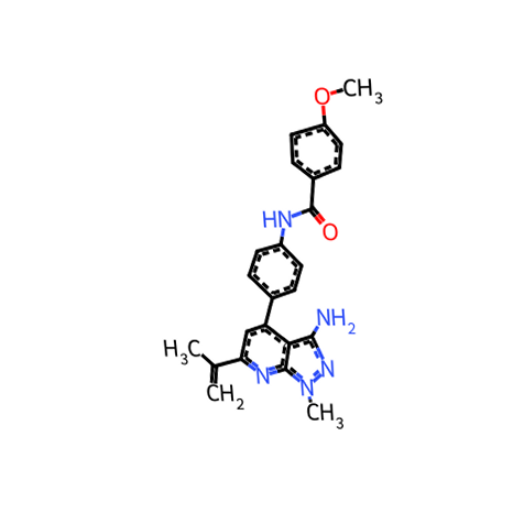 C=C(C)c1cc(-c2ccc(NC(=O)c3ccc(OC)cc3)cc2)c2c(N)nn(C)c2n1